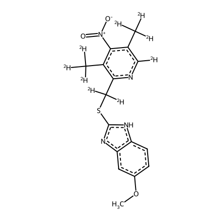 [2H]c1nc(C([2H])([2H])Sc2nc3cc(OC)ccc3[nH]2)c(C([2H])([2H])[2H])c([N+](=O)[O-])c1C([2H])([2H])[2H]